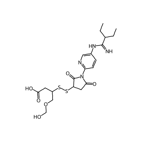 CCC(CC)C(=N)Nc1ccc(N2C(=O)CC(SSC(COCO)CC(=O)O)C2=O)nc1